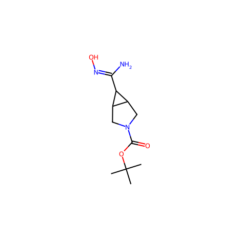 CC(C)(C)OC(=O)N1CC2C(C1)C2/C(N)=N/O